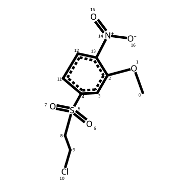 COc1cc(S(=O)(=O)CCCl)ccc1[N+](=O)[O-]